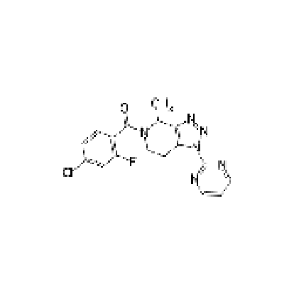 CC1c2nnn(-c3ncccn3)c2CCN1C(=O)c1ccc(Cl)cc1F